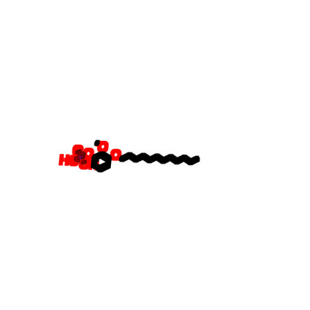 CCCCCCCCCCCCOc1cccc(OP(=O)(O)O)c1OC